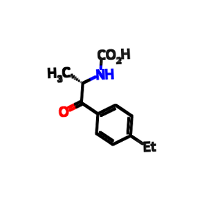 CCc1ccc(C(=O)[C@H](C)NC(=O)O)cc1